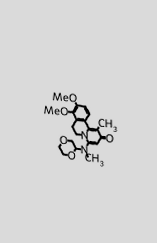 COc1ccc2c(c1OC)CCn1c(N(C)C3COCCO3)cc(=O)c(C)c1-2